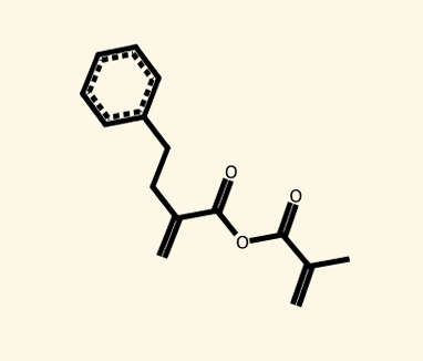 C=C(C)C(=O)OC(=O)C(=C)CCc1ccccc1